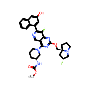 CC(C)(C)OC(=O)N[C@@H]1CCCN(c2nc(OC[C@@]34CCCN3C[C@H](F)C4)nc3c(F)c(-c4cc(O)cc5ccccc45)ncc23)C1